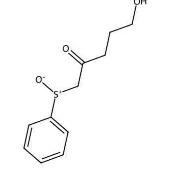 O=C(CCCO)C[S+]([O-])c1ccccc1